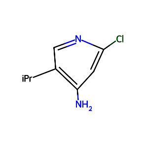 CC(C)c1cnc(Cl)cc1N